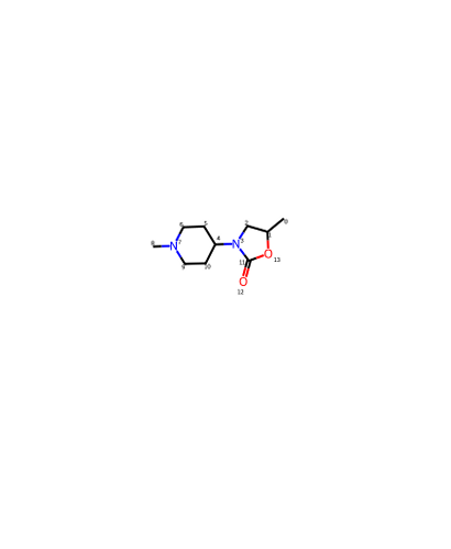 CC1CN(C2CCN(C)CC2)C(=O)O1